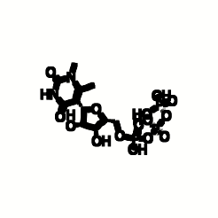 Cc1c([C@@H]2O[C@H](COP(=O)(O)OP(=O)(O)OP(=O)(O)O)[C@@H](O)[C@H]2O)c(=O)[nH]c(=O)n1C